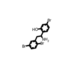 NC(Cc1cc(Br)ccc1Br)c1ccc(Br)cc1O